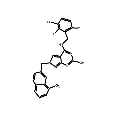 Cc1ccc(Cl)c(CNc2nc(O)nc3nn(Cc4cnc5cccc(C)c5c4)cc23)c1F